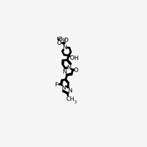 Cc1cn2c(F)cc(-c3cc(=O)n4cc(C5(O)CCN(C(=O)OC(C)(C)C)CC5)ccc4n3)cc2n1